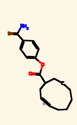 NC(=S)c1ccc(OC(=O)C2C/C=C\CCCCCC2)cc1